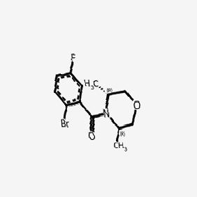 C[C@@H]1COC[C@@H](C)N1C(=O)c1cc(F)ccc1Br